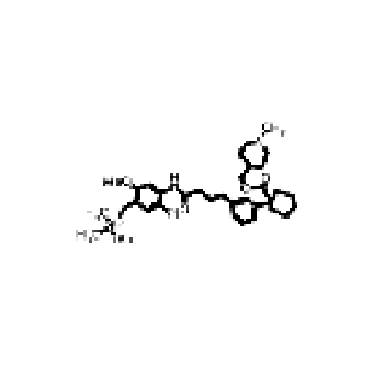 COc1cc(NC(=O)CCCc2cccc(C3(C(=O)OCC4CCN(C)CC4)CCCCC3)c2)c(Cl)cc1CO[Si](C)(C)C(C)(C)C